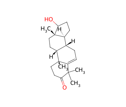 CC1(C)C(=O)CC[C@@]2(C)C1=CC[C@@H]1[C@H]2CC[C@]2(C)C(O)CC[C@@H]12